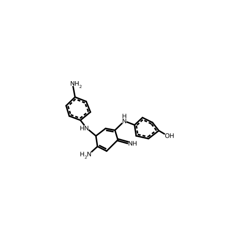 N=C1C=C(N)C(Nc2ccc(N)cc2)C=C1Nc1ccc(O)cc1